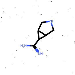 N=C(N)C1C2CNCC21